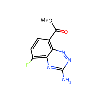 COC(=O)c1ccc(F)c2nc(N)nnc12